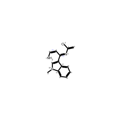 C=C(Cl)/N=C(\C=C/N)c1cn(C)c2ccccc12